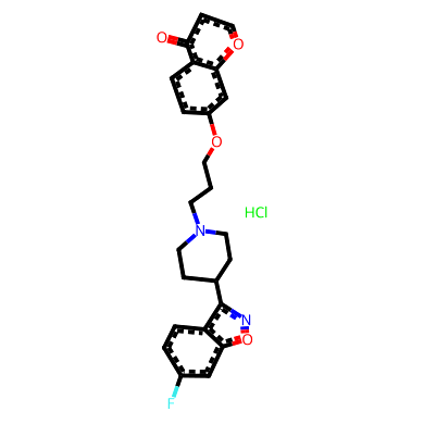 Cl.O=c1ccoc2cc(OCCCN3CCC(c4noc5cc(F)ccc45)CC3)ccc12